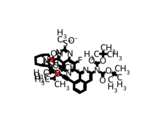 CC1Oc2nc(-c3nc(N(C(=O)OC(C)(C)C)C(=O)OC(C)(C)C)cc4cccc(C#C[Si](C(C)C)(C(C)C)C(C)C)c34)c(F)c3nc([S+](C)[O-])nc(c23)N2CC3CCC(C12)N3C(=O)O